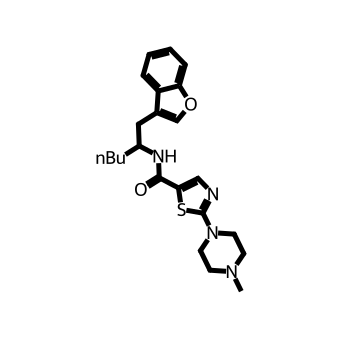 CCCCC(Cc1coc2ccccc12)NC(=O)c1cnc(N2CCN(C)CC2)s1